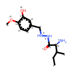 CCC(C)[C@H](N)C(=O)NNCc1ccc(OC)c(O)c1